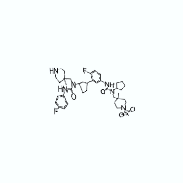 CC1(CN(C(=O)Nc2ccc(F)c(C3CCC(N(CC4(C)CCNCC4)C(=O)Nc4ccc(F)cc4)C3)c2)C2CCCC2)CCN(S(C)(=O)=O)CC1